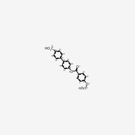 CCCCCCCCOc1ccc(C(=O)Oc2ccc(-c3ccc(C(=O)O)cc3)cc2)cc1